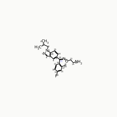 CC(C)Cn1ncc2cc(/C(=N/OCCN)c3ccc(F)cc3F)ccc21